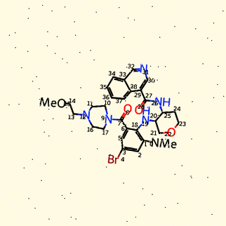 CNc1cc(Br)cc(C(=O)N2CCN(CCOC)CC2)c1N[C@@H]1COCC[C@@H]1NC(=O)c1cncc2ccccc12